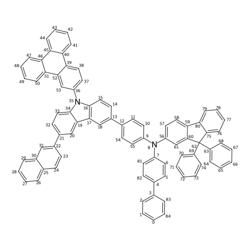 c1ccc(-c2ccc(N(c3ccc(-c4ccc5c(c4)c4cc(-c6ccc7ccccc7c6)ccc4n5-c4ccc5c6ccccc6c6ccccc6c5c4)cc3)c3ccc4c(c3)C(c3ccccc3)(c3ccccc3)c3ccccc3-4)cc2)cc1